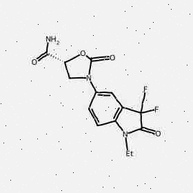 CCN1C(=O)C(F)(F)c2cc(N3C[C@H](C(N)=O)OC3=O)ccc21